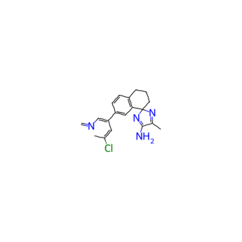 C=N/C=C(\C=C(/C)Cl)c1ccc2c(c1)C1(CCC2)N=C(C)C(N)=N1